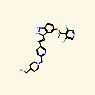 C[C@@H](Oc1ccc2c(c1)C(/C=C(\F)c1ccc(CN3CCC(CO)CC3)nc1)NN2)c1c(Cl)cncc1Cl